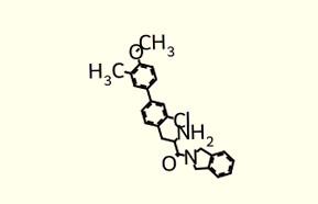 COc1ccc(-c2ccc(CC(N)C(=O)N3Cc4ccccc4C3)c(Cl)c2)cc1C